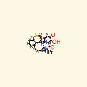 CC(C)N1C(=O)c2c(O)c(=O)ccn2N2[C@@H]3c4ccccc4SCc4cccc(c43)CCC[C@@H]12